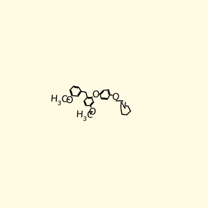 COc1cccc(Cc2ccc(OC)cc2Oc2ccc(OCCN3CCCCC3)cc2)c1